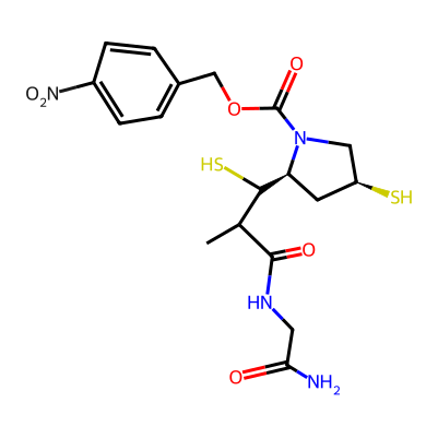 CC(C(=O)NCC(N)=O)C(S)[C@@H]1C[C@H](S)CN1C(=O)OCc1ccc([N+](=O)[O-])cc1